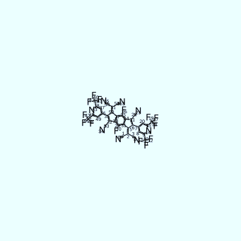 N#CC(C#N)=C1C(c2cc(C(F)(F)F)nc(C(F)(F)F)c2)=C(C#N)c2c(F)c3c(c(F)c21)C(C#N)=C(c1cc(C(F)(F)F)nc(C(F)(F)F)c1)C3=C(C#N)C#N